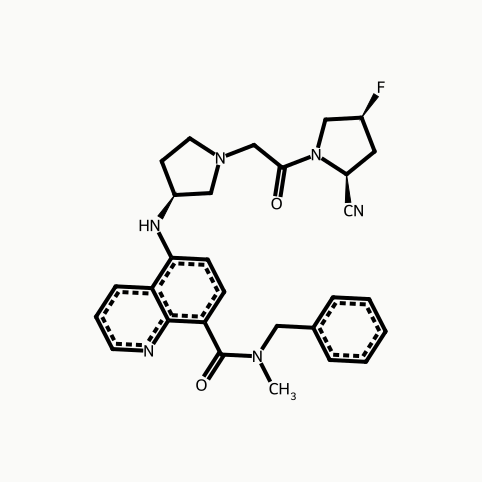 CN(Cc1ccccc1)C(=O)c1ccc(N[C@H]2CCN(CC(=O)N3C[C@@H](F)C[C@H]3C#N)C2)c2cccnc12